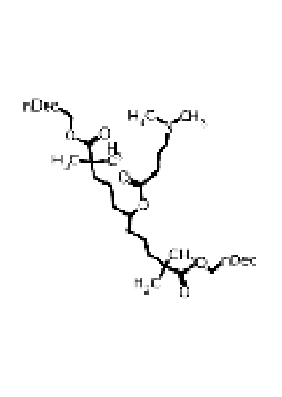 CCCCCCCCCCCOC(=O)C(C)(C)CCCC(CCCC(C)(C)C(=O)OCCCCCCCCCCC)OC(=O)CCCN(C)C